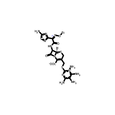 CCO/N=C(\C(=O)NC1C(=O)N2C(C(=O)[O-])=C(CSc3nc(N)c(N)c(N)[n+]3N)CS[C@H]12)c1nsc(N)n1